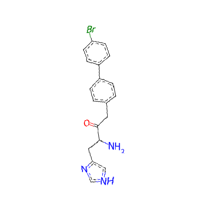 NC(Cc1c[nH]cn1)C(=O)Cc1ccc(-c2ccc(Br)cc2)cc1